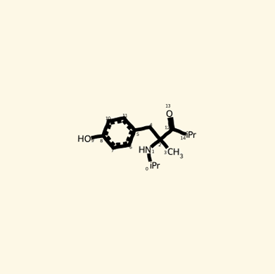 CC(C)NC(C)(Cc1ccc(O)cc1)C(=O)C(C)C